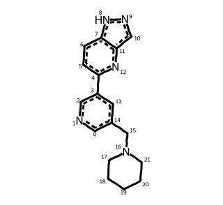 c1ncc(-c2ccc3[nH]ncc3n2)cc1CN1CCCCC1